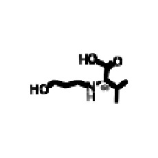 CC(C)[C@H](NCCCO)C(=O)O